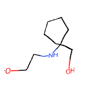 [O]CCNC1(CO)CCCC1